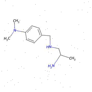 CC(N)CNCc1ccc(N(C)C)cc1